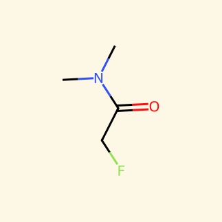 CN(C)C(=O)CF